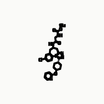 CC(C)(C)OC(=O)NCC(=O)NC1Cc2cc(Cl)ccc2-n2c(nnc2[C@H]2CC[C@H](Oc3ccccn3)CC2)C1